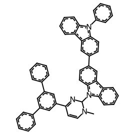 CN1C=CC(c2cc(-c3ccccc3)cc(-c3ccccc3)c2)=NC1n1c2ccccc2c2cc(-c3ccc4c(c3)c3ccccc3n4-c3ccccc3)ccc21